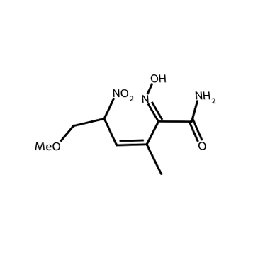 COCC(C=C(C)C(=NO)C(N)=O)[N+](=O)[O-]